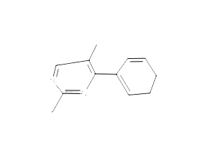 Clc1ncc(Cl)c(C2=CCCC=C2)n1